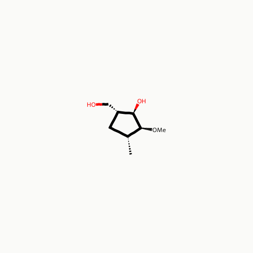 CO[C@@H]1[C@H](O)[C@@H](CO)C[C@H]1C